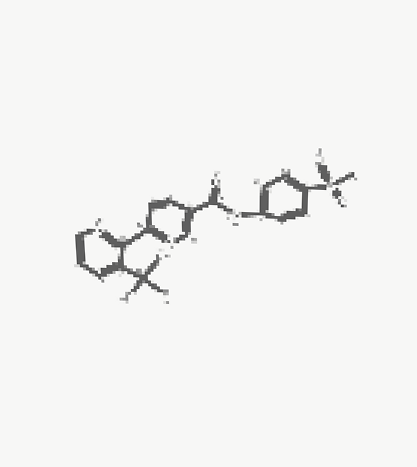 CS(=O)(=O)c1ccc(NC(=O)c2ccc(-c3ncccc3C(F)(F)F)nc2)cc1